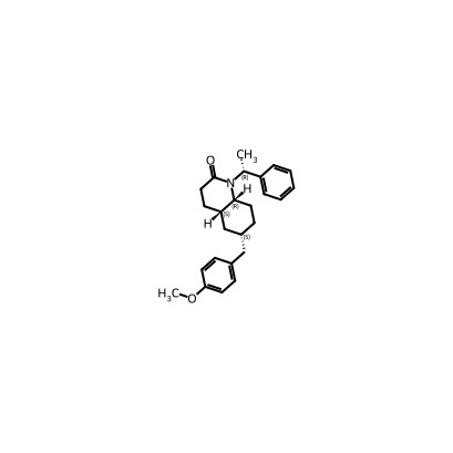 COc1ccc(C[C@H]2CC[C@@H]3[C@@H](CCC(=O)N3[C@H](C)c3ccccc3)C2)cc1